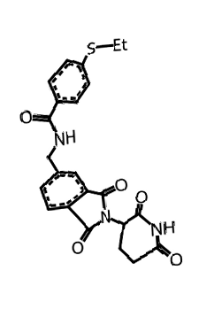 CCSc1ccc(C(=O)NCc2ccc3c(c2)C(=O)N(C2CCC(=O)NC2=O)C3=O)cc1